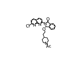 CC(=O)N1CCC(CCOC2c3ccccc3C(=O)N2c2ccc3ccc(Cl)nc3n2)CC1